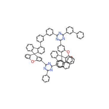 c1ccc(-c2cccc(-c3nc(-c4cccc(-c5cccc(-c6cccc7c6-c6ccccc6C76c7ccccc7Oc7cc(-c8nc(-c9ccccc9)nc(-c9ccc%10c(ccc%11ccccc%11%10)c9)n8)ccc76)c5)c4)nc(-c4ccc5c(c4)Oc4ccccc4C54c5ccccc5-c5ccccc54)n3)c2)cc1